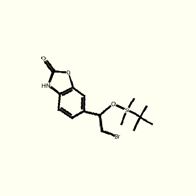 CC(C)(C)[Si](C)(C)OC(CBr)c1ccc2[nH]c(=O)oc2c1